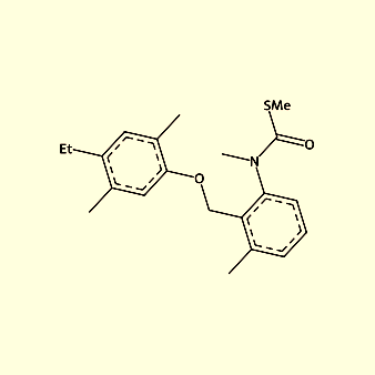 CCc1cc(C)c(OCc2c(C)cccc2N(C)C(=O)SC)cc1C